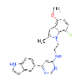 COc1ccc(F)c2c1cc(C)n2CCNc1cc(-c2ccc3[nH]ccc3c2)ncn1